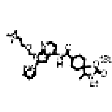 CCN(C(=O)OC(C)(C)C)C(C)C1(C)CCC(C(=O)Nc2ccnc3c2cc(-n2cccn2)n3COCC[Si](C)(C)C)CC1